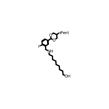 CCCCCC1COC(c2ccc(F)c(CNCCCCCCCCCO)c2)OC1